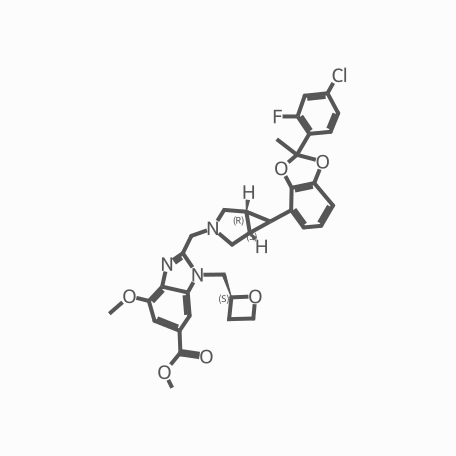 COC(=O)c1cc(OC)c2nc(CN3C[C@@H]4C(c5cccc6c5OC(C)(c5ccc(Cl)cc5F)O6)[C@@H]4C3)n(C[C@@H]3CCO3)c2c1